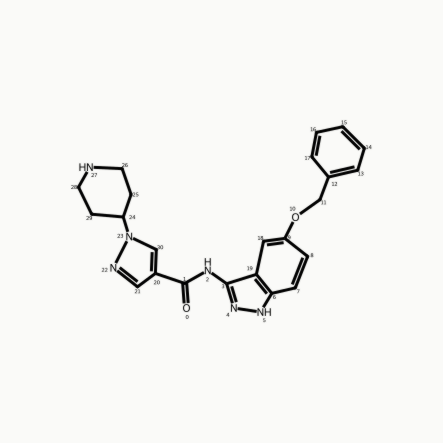 O=C(Nc1n[nH]c2ccc(OCc3ccccc3)cc12)c1cnn(C2CCNCC2)c1